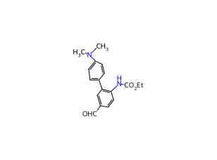 CCOC(=O)Nc1ccc(C=O)cc1-c1ccc(N(C)C)cc1